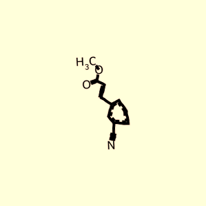 COC(=O)C=Cc1cccc(C#N)c1